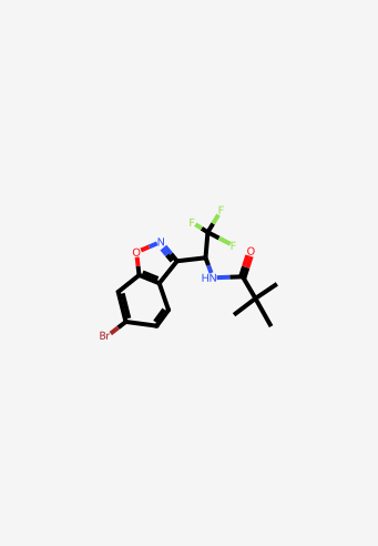 CC(C)(C)C(=O)NC(c1noc2cc(Br)ccc12)C(F)(F)F